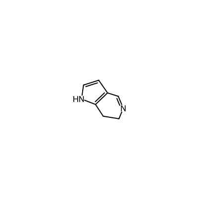 C1=NCCc2[nH]ccc21